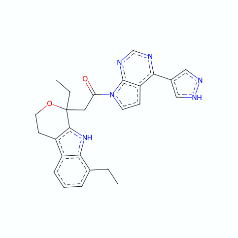 CCc1cccc2c3c([nH]c12)C(CC)(CC(=O)n1ccc2c(-c4cn[nH]c4)ncnc21)OCC3